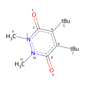 Cn1c(=O)c(C(C)(C)C)c(C(C)(C)C)c(=O)n1C